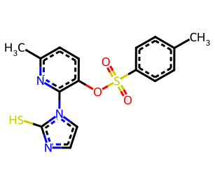 Cc1ccc(S(=O)(=O)Oc2ccc(C)nc2-n2ccnc2S)cc1